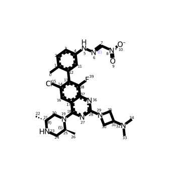 Cc1ccc(N/N=C/[N+](=O)[O-])cc1-c1c(Cl)cc2c(N3C[C@@H](C)NC[C@@H]3C)nc(N3CC(N(C)C)C3)nc2c1F